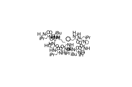 CC[C@H](C)[C@H](NC(=O)CNC(=O)[C@H](CO)NC(=O)[C@H](CC(C)C)NC(=O)[C@@H](NC(=O)[C@H](CCCCN)NC(=O)CNC(=O)[C@@H](NC(=O)[C@H](CC(C)C)NC(=O)[C@@H]1CCCN1C(=O)[C@H](CC(C)C)NC(=O)[C@@H](N)Cc1ccccc1)[C@@H](C)CC)C(C)C)C(=O)N[C@@H](CC(C)C)C(N)=O